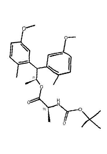 COc1ccc(C)c(C(c2cc(OC)ccc2C)[C@H](C)OC(=O)[C@H](C)NC(=O)OC(C)(C)C)c1